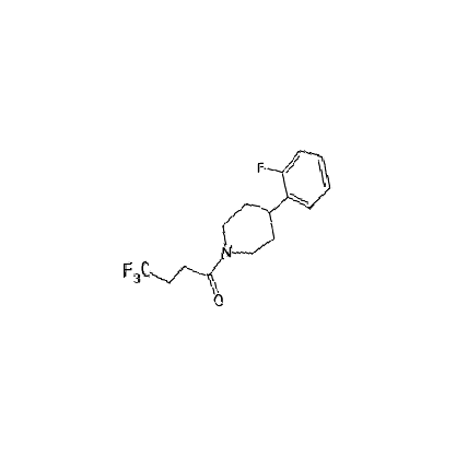 O=C(CCC(F)(F)F)N1CCC(c2ccccc2F)CC1